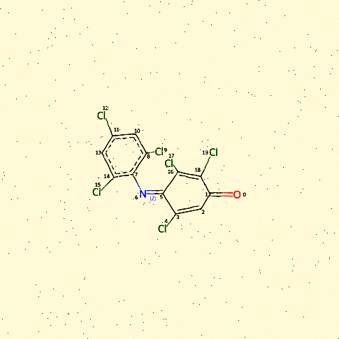 O=C1C=C(Cl)/C(=N/c2c(Cl)cc(Cl)cc2Cl)C(Cl)=C1Cl